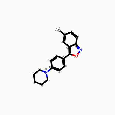 CC(=O)c1ccc2noc(-c3ccc(N4CCCCC4)cc3)c2c1